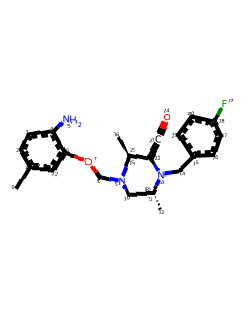 Cc1ccc(N)c(OCN2C[C@@H](C)N(Cc3ccc(F)cc3)C(=C=O)[C@@H]2C)c1